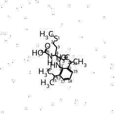 CSCCC(NC(=O)O)C(=O)Nc1c(C(C)C)cccc1C(C)C